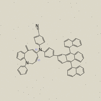 C=C1/C=C(N(c2ccc(C#N)cc2)c2ccc(-c3ccc4c(-c5cccc6ccccc56)c5ccccc5c(-c5cccc6ccccc56)c4c3)cc2)\C=C/CN(c2ccccc2)c2ccccc21